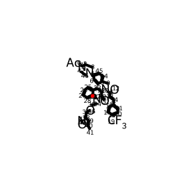 CC(=O)N1CCN(c2ccc(CN(C(=O)C=Cc3ccc(C(F)(F)F)cc3)C(Cc3ccccc3)C(=O)N(C)CCOCc3cc(C)on3)cc2)CC1